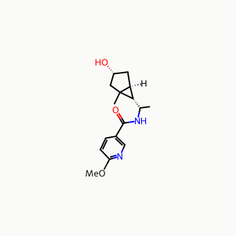 COc1ccc(C(=O)NC(C)[C@H]2[C@@H]3C[C@@H](O)CC32C)cn1